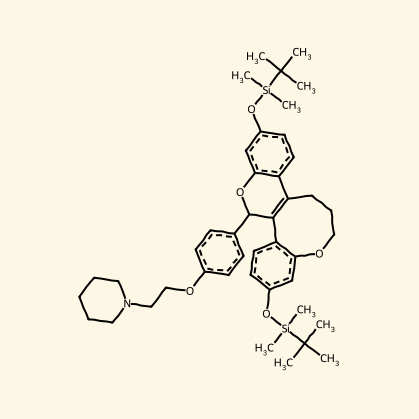 CC(C)(C)[Si](C)(C)Oc1ccc2c(c1)OC(c1ccc(OCCN3CCCCC3)cc1)C1=C2CCCOc2cc(O[Si](C)(C)C(C)(C)C)ccc21